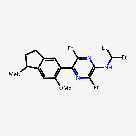 CCc1nc(-c2cc3c(cc2OC)C(NC)CC3)c(CC)nc1NC(CC)CC